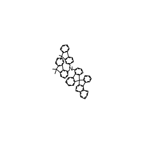 CC1(C)c2ccccc2-c2ccc(N(c3cccc4c3-c3ccccc3C4(C)C)c3cccc4c3-c3ccccc3C43c4ccccc4-c4c3ccc3ccccc43)cc21